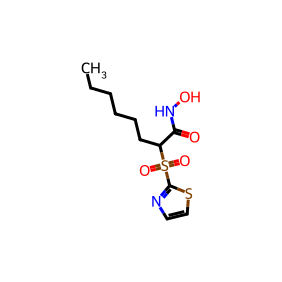 CCCCCCC(C(=O)NO)S(=O)(=O)c1nccs1